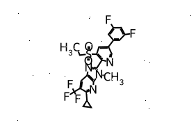 CCS(=O)(=O)c1cc(-c2cc(F)cc(F)c2)cnc1-c1nc2cc(C(F)(F)F)c(C3CC3)nc2n1C